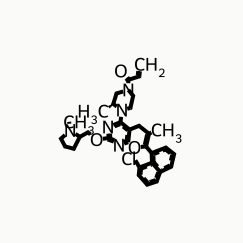 C=CC(=O)N1CCN(c2nc(OCC3CCCN3C)nc3c2CC(C)=C(c2cccc4cccc(Cl)c24)O3)[C@@H](C)C1